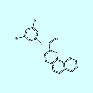 Clc1cc(Br)cc(Br)c1.N=Cc1ccc2ccc3cccnc3c2n1